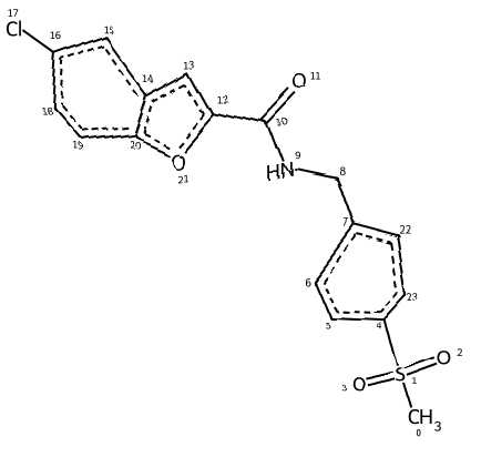 CS(=O)(=O)c1ccc(CNC(=O)c2cc3cc(Cl)ccc3o2)cc1